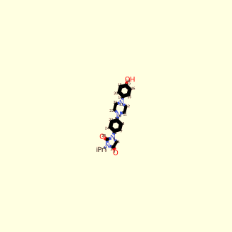 CC(C)N1C(=O)CN(c2ccc(N3CCN(c4ccc(O)cc4)CC3)cc2)C1=O